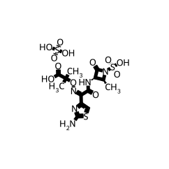 C[C@H]1[C@H](NC(=O)C(=NOC(C)(C)C(=O)O)c2csc(N)n2)C(=O)N1S(=O)(=O)O.O=S(=O)(O)O